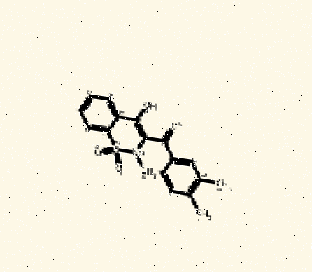 Cc1ccc(C(=O)C2=C(O)c3ccccc3S(=O)(=O)N2C)cc1C